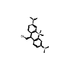 CCC=C1c2ccc(N(C)C)cc2S(C)(C)c2cc(N(C)C)ccc21